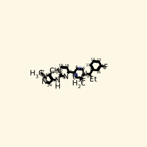 C=C/C=C(\C=C/N(C)C(CC)c1cccc(F)c1)c1ccnc(Nc2cnn(C)c2C)n1